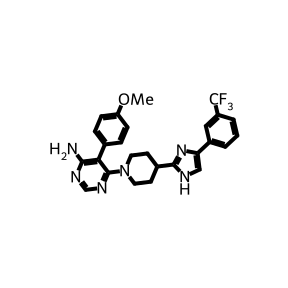 COc1ccc(-c2c(N)ncnc2N2CCC(c3nc(-c4cccc(C(F)(F)F)c4)c[nH]3)CC2)cc1